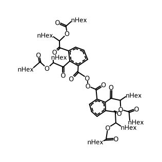 CCCCCCC(=O)OC(CCCCCC)C(=O)c1cccc(C(=O)OOC(=O)c2cccc(C(=O)C(CCCCCC)OC(=O)CCCCCC)c2C(=O)C(CCCCCC)OC(=O)CCCCCC)c1C(=O)C(CCCCCC)OC(=O)CCCCCC